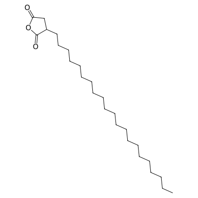 CCCCCCCCCCCCCCCCCCCCCC1CC(=O)OC1=O